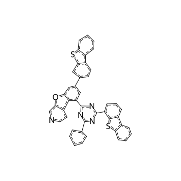 c1ccc(-c2nc(-c3cccc4c3sc3ccccc34)nc(-c3cc(-c4ccc5c(c4)sc4ccccc45)cc4oc5cnccc5c34)n2)cc1